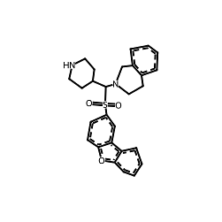 O=S(=O)(c1ccc2oc3ccccc3c2c1)C(C1CCNCC1)N1CCc2ccccc2C1